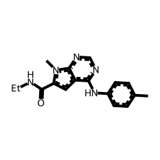 CCNC(=O)c1cc2c(Nc3ccc(C)cc3)ncnc2n1C